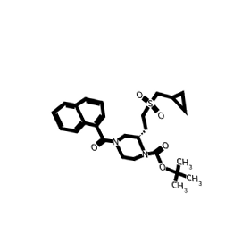 CC(C)(C)OC(=O)N1CCN(C(=O)c2cccc3ccccc23)C[C@@H]1CCS(=O)(=O)CC1CC1